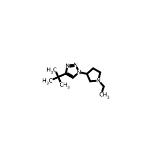 CCN1CCC(n2cc(C(C)(C)C)nn2)C1